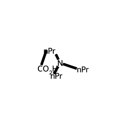 CC(=O)O.CCCN(CCC)CCC